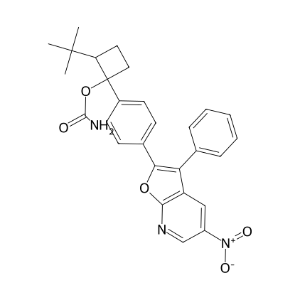 CC(C)(C)C1CCC1(OC(N)=O)c1ccc(-c2oc3ncc([N+](=O)[O-])cc3c2-c2ccccc2)cc1